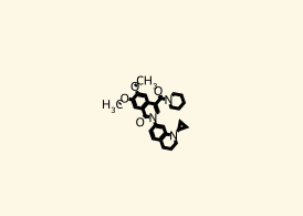 COc1cc2c(C(=O)N3CCCCC3)cn(-c3ccc4c(c3)N(C3CC3)CCC4)c(=O)c2cc1OC